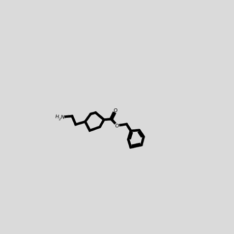 NCCC1CCC(C(=O)OCc2ccccc2)CC1